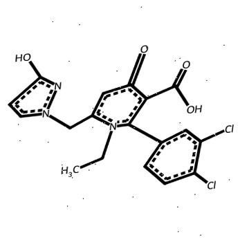 CCn1c(Cn2ccc(O)n2)cc(=O)c(C(=O)O)c1-c1ccc(Cl)c(Cl)c1